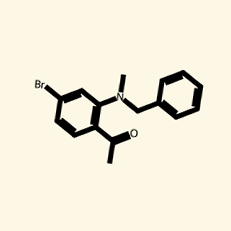 CC(=O)c1ccc(Br)cc1N(C)Cc1ccccc1